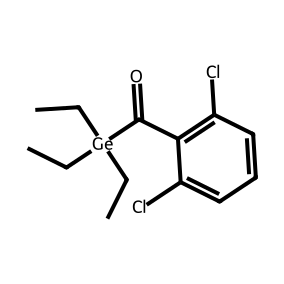 C[CH2][Ge]([CH2]C)([CH2]C)[C](=O)c1c(Cl)cccc1Cl